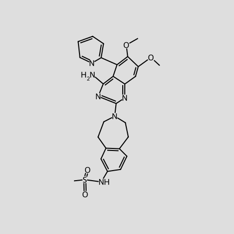 COc1cc2nc(N3CCc4ccc(NS(C)(=O)=O)cc4CC3)nc(N)c2c(-c2ccccn2)c1OC